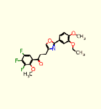 CCOc1cc(-c2nc(CCC(=O)c3cc(F)c(F)c(F)c3OC)co2)ccc1OC